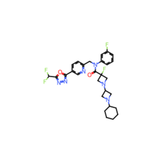 O=C(N(Cc1ccc(-c2nnc(C(F)F)o2)cn1)c1cccc(F)c1)C1(F)CN(C2CN(C3CCCCC3)C2)C1